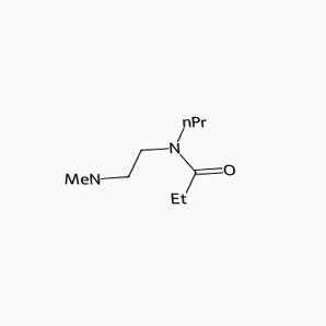 CCCN(CCNC)C(=O)CC